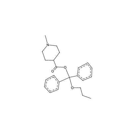 CCCOC(OC(=O)C1CCN(C)CC1)(c1ccccc1)c1ccccc1